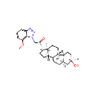 COc1cccc2nnn(CC(=O)[C@H]3CC[C@H]4C5CC[C@@H]6C[C@](C)(O)CC[C@@H]6[C@H]5CC[C@]34C)c12